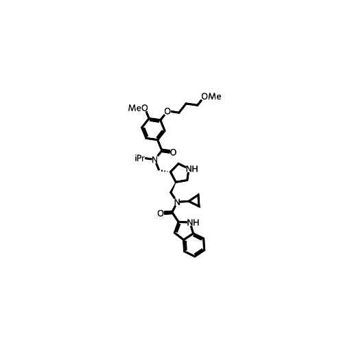 COCCCOc1cc(C(=O)N(C[C@@H]2CNC[C@H]2CN(C(=O)c2cc3ccccc3[nH]2)C2CC2)C(C)C)ccc1OC